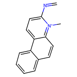 C=Nc1ccc2c3ccccc3ccc2[n+]1C